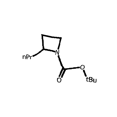 CCCC1CCN1C(=O)OC(C)(C)C